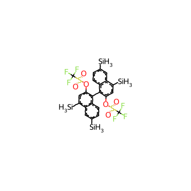 O=S(=O)(Oc1cc([SiH3])c2cc([SiH3])ccc2c1-c1c(OS(=O)(=O)C(F)(F)F)cc([SiH3])c2cc([SiH3])ccc12)C(F)(F)F